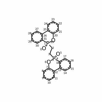 O=P1(CCP2(=O)Oc3ccccc3-c3ccccc32)Oc2ccccc2-c2ccccc21